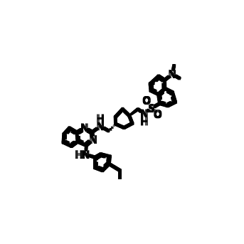 CCc1ccc(Nc2nc(NC[C@H]3CC[C@H](CNS(=O)(=O)c4cccc5c(N(C)C)cccc45)CC3)nc3ccccc23)cc1